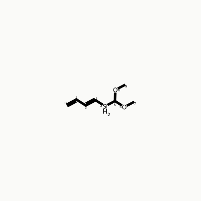 C=CC=C[SiH2]C(OC)OC